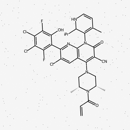 C=CC(=O)N1[C@H](C)CN(c2c(C#N)c(=O)n(C3=C(C)C=CNC3C(C)C)c3nc(-c4c(O)c(F)c(Cl)c(Cl)c4F)c(Cl)cc23)C[C@@H]1C